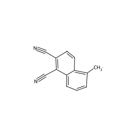 [CH2]c1cccc2c(C#N)c(C#N)ccc12